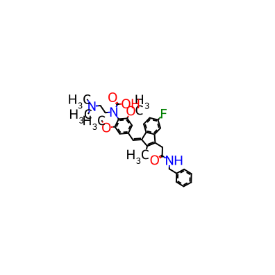 COc1cc(/C=C2/C(C)=C(CC(=O)NCc3ccccc3)c3cc(F)ccc32)cc(OC)c1N(CCN(C)C)C(=O)O